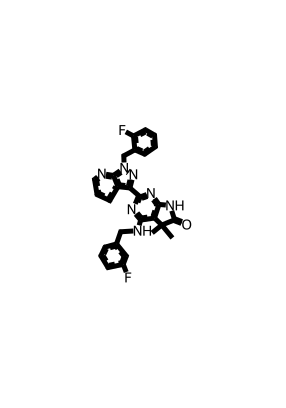 CC1(C)C(=O)Nc2nc(-c3nn(Cc4ccccc4F)c4ncccc34)nc(NCc3cccc(F)c3)c21